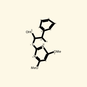 COc1cc(OC)nc(SC(C=O)C(C)c2ccccc2)n1